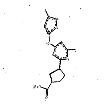 COC(=O)C1CCC(c2nc(C)cc(Nc3cc(C)[nH]n3)n2)C1